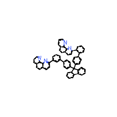 c1cc(-c2ccc(C3(c4ccc(-c5ccccc5-c5ccc6ccc7cccnc7c6n5)cc4)c4ccccc4-c4ccccc43)cc2)cc(-c2ccc3ccc4cccnc4c3n2)c1